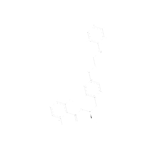 O=C(N[C@@H](Cc1ccc(CCCNc2ccccn2)cc1)C(=O)O)c1c(Cl)cccc1Cl